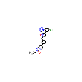 CCNC(=O)N1CCC(c2cccc(Cc3ccc(-c4cc(Cl)ccc4-n4cnnn4)c[n+]3[O-])c2)CC1